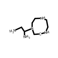 NCC(N)N1CCNCCNCC1